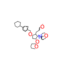 COC=CCC1C(OCc2ccc(C3CCCCC3)cc2)CC(OC2CCCCO2)C1N1CCOCC1